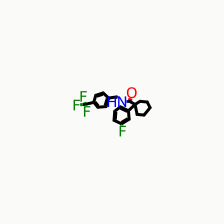 O=C(NCc1ccc(C(F)(F)F)cc1)C1(c2cccc(F)c2)CCCCC1